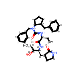 CC(C)C[C@H](NC(=O)N(Cc1ccccc1)C1CCCC1Cc1ccccc1)C(=O)N[C@@H](C[C@@H]1CCNC1=O)C(O)S(=O)(=O)O